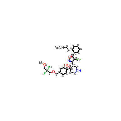 CCOCC(F)(F)COCc1ccc([C@@]2(O)CCNC[C@@H]2c2noc(-c3ccccc3CCNC(C)=O)c2Br)cc1